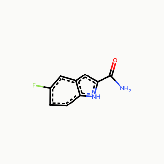 NC(=O)c1cc2cc(F)ccc2[nH]1